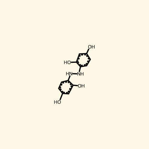 Oc1ccc(NNc2ccc(O)cc2O)c(O)c1